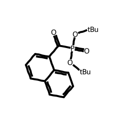 CC(C)(C)OP(=O)(OC(C)(C)C)C(=O)c1cccc2ccccc12